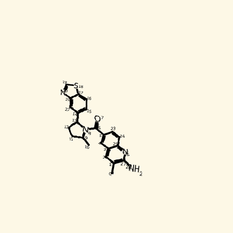 Cc1cc2cc(C(=O)N3C(C)CCC3c3ccc4scnc4c3)ccc2nc1N